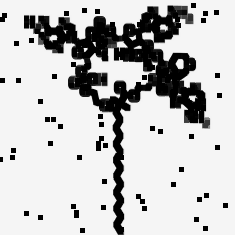 CCCCCCCCCCCCCCCCC(C)(C)C(=O)OCCSP(=O)(O)OC1C2OCC[C@@]1(COP(O)(=S)OC1C(O)[C@@H](COP(=O)(O)OC3C(OC)[C@@H](COP(=O)(O)OCCO)O[C@H]3n3cnc4c(N)ncnc43)O[C@H]1n1cnc3c(N)ncnc31)O[C@H]2n1cnc2c(N)ncnc21